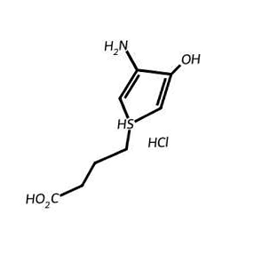 Cl.NC1=C[SH](CCCC(=O)O)C=C1O